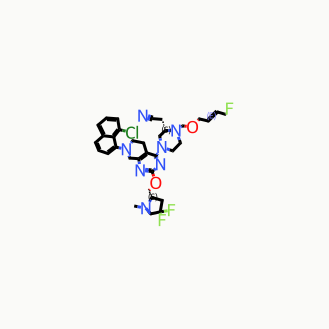 CN1CC(F)(F)C[C@H]1COc1nc2c(c(N3CCN(COC/C=C/CF)[C@@H](CC#N)C3)n1)CCN(c1cccc3cccc(Cl)c13)C2